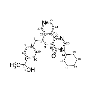 CC(O)c1ccc(Cc2cc3c(=O)n(C4CCCCC4)cnc3c3ccncc23)cc1